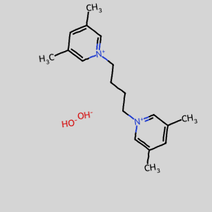 Cc1cc(C)c[n+](CCCC[n+]2cc(C)cc(C)c2)c1.[OH-].[OH-]